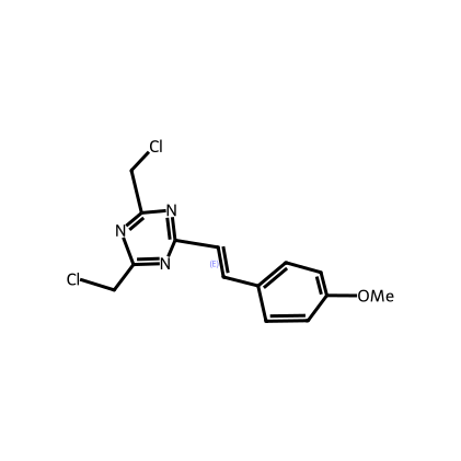 COc1ccc(/C=C/c2nc(CCl)nc(CCl)n2)cc1